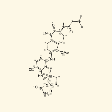 CCN1C(=O)[C@@H](NC(=O)CN(C)C)CCc2c1ccc(Nc1ncc(Cl)c(N[C@H]3[C@@H](C(N)=O)[C@@H]4C=C[C@H]3C4)n1)c2OC